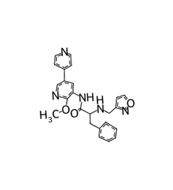 COc1ncc(-c2ccncc2)cc1NC(=O)C(Cc1ccccc1)NCc1ccon1